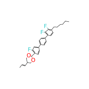 C/C=C/C1COC(c2ccc(-c3ccc(-c4ccc(CCCCCC)c(F)c4F)cc3)cc2F)OC1